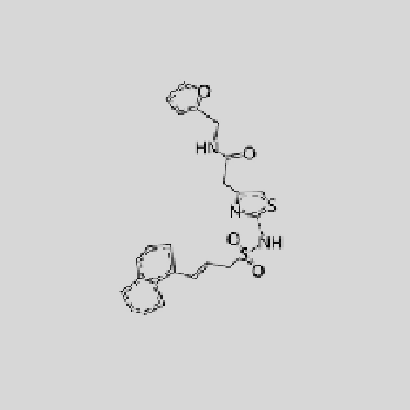 O=C(Cc1csc(NS(=O)(=O)CC=Cc2cccc3ccccc23)n1)NCc1ccco1